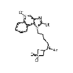 CCc1nc2c[n+]([O-])c3ccccc3c2n1CCCCN(C(C)=O)C1CS(=O)(=O)C1